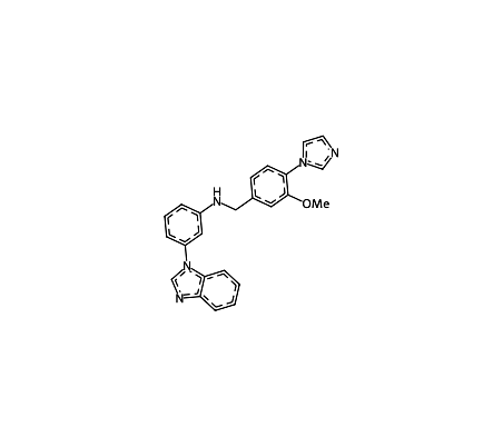 COc1cc(CNc2cccc(-n3cnc4ccccc43)c2)ccc1-n1ccnc1